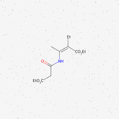 CCOC(=O)CC(=O)N/C(C)=C(/CC)C(=O)OCC